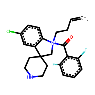 C=CCC[N+]1(C(=O)c2c(F)cccc2F)CC2(CCNCC2)c2cc(Cl)ccc21